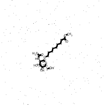 COC(=O)CCCCCCCCO[C@@H]1O[C@H](CO)[C@H](O)[C@H](O)[C@H]1NC(C)=O